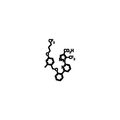 Cc1cc(OCCCC(F)(F)F)ccc1COc1ccccc1-c1cccc(-n2ncc(C(=O)O)c2C(F)(F)F)n1